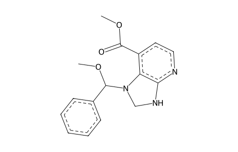 COC(=O)c1ccnc2c1N(C(OC)c1ccccc1)CN2